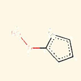 OOc1ccc[se]1